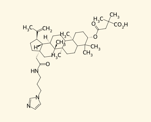 C=C(C)[C@@H]1CC[C@]2(CC(=O)NCCCn3ccnc3)CC[C@]3(C)[C@H](CCC4[C@@]5(C)CC[C@H](OC(=O)CC(C)(C)C(=O)O)C(C)(C)C5CC[C@]43C)[C@@H]12